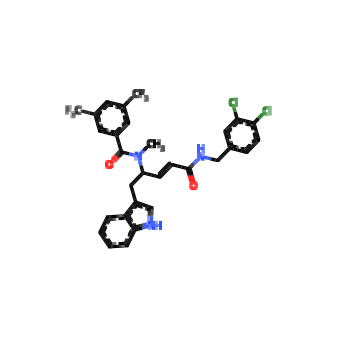 CN(C(=O)c1cc(C(F)(F)F)cc(C(F)(F)F)c1)C(C=CC(=O)NCc1ccc(Cl)c(Cl)c1)Cc1c[nH]c2ccccc12